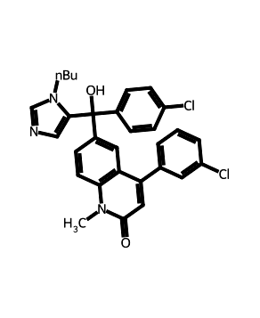 CCCCn1cncc1C(O)(c1ccc(Cl)cc1)c1ccc2c(c1)c(-c1cccc(Cl)c1)cc(=O)n2C